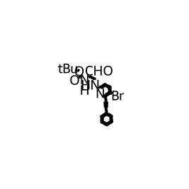 CC(C)(C)OC(=O)NC(C=O)CNc1ccc(Br)c(C#Cc2ccccc2)n1